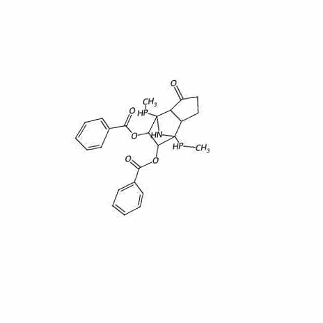 CPC12NC(PC)(C(OC(=O)c3ccccc3)C1OC(=O)c1ccccc1)C1C(=O)CCC12